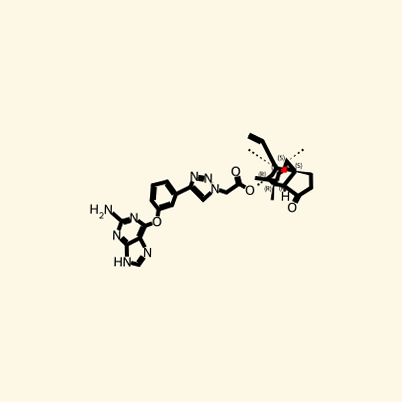 C=C[C@@]1(C)C[C@H](C)[C@]23CCC(=O)[C@H]2[C@@](C)(C(C)CC3)[C@H](OC(=O)Cn2cc(-c3cccc(Oc4nc(N)nc5[nH]cnc45)c3)nn2)C1